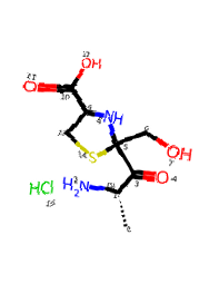 C[C@H](N)C(=O)C1(CO)NC(C(=O)O)CS1.Cl